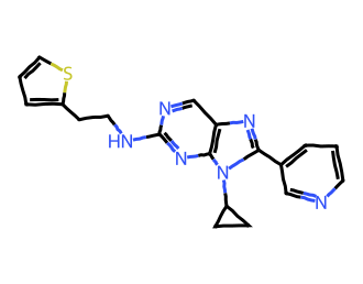 c1cncc(-c2nc3cnc(NCCc4cccs4)nc3n2C2CC2)c1